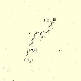 CC[C@@H](O)/C=C/C=C\C[C@@H](O)\C=C/C=C/C=C/[C@@H](O)CCCC(=O)O